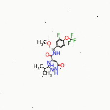 COC[C@@H](NC(=O)C1=CC(=O)NNC(C(C)C)=N1)c1ccc(OC(F)(F)F)c(F)c1